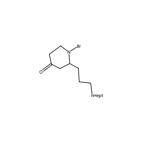 CCCCCCCCCCC1CC(=O)CCN1Br